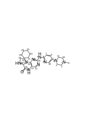 CN1CCN(c2ccc(Nc3ncc4c(n3)N3C(NCC35CCCCC5)C(=O)N4)nc2)CC1